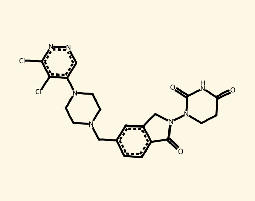 O=C1CCN(N2Cc3cc(CN4CCN(c5cnnc(Cl)c5Cl)CC4)ccc3C2=O)C(=O)N1